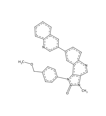 COCc1ccc(-n2c(=O)n(C)c3cnc4ccc(-c5cnc6ccccc6c5)cc4c32)cc1